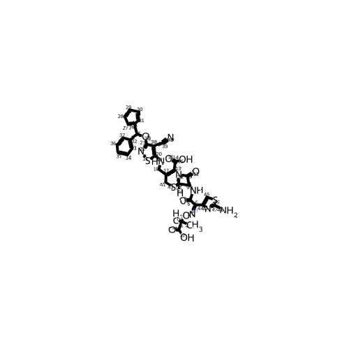 CC(C)(O/N=C(\C(=O)NC1C(=O)N2C(C(=O)O)=C(CNc3snc(OC(c4ccccc4)c4ccccc4)c3C#N)CS[C@@H]12)c1csc(N)n1)C(=O)O